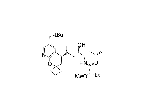 C=CC[C@H](NC(=O)[C@H](CC)OC)[C@H](O)CN[C@H]1CC2(CCC2)Oc2ncc(CC(C)(C)C)cc21